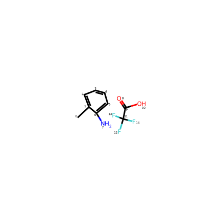 Cc1ccccc1N.O=C(O)C(F)(F)F